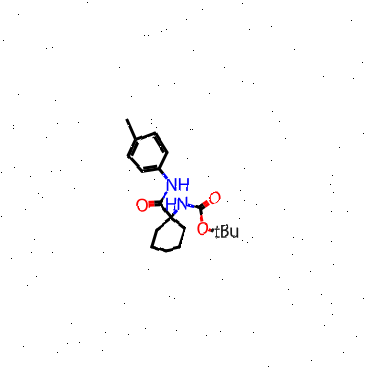 Cc1ccc(NC(=O)C2(NC(=O)OC(C)(C)C)CCCCC2)cc1